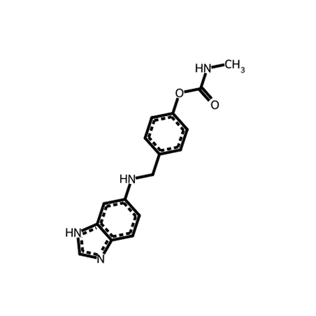 CNC(=O)Oc1ccc(CNc2ccc3nc[nH]c3c2)cc1